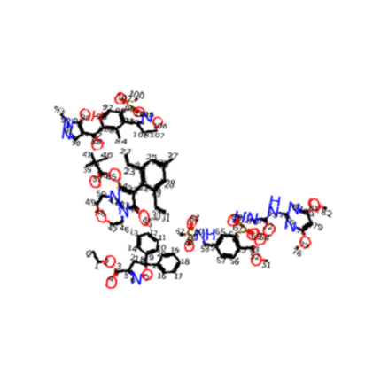 CCOC(=O)C1=NOC(c2ccccc2)(c2ccccc2)C1.CCc1cc(C)cc(CC)c1-c1c(OC(=O)C(C)(C)C)n2n(c1=O)CCOCC2.COC(=O)c1ccc(CNS(C)(=O)=O)cc1S(=O)(=O)NC(=O)Nc1nc(OC)cc(OC)n1.Cc1c(C(=O)c2cnn(C)c2O)ccc(S(C)(=O)=O)c1C1=NOCC1